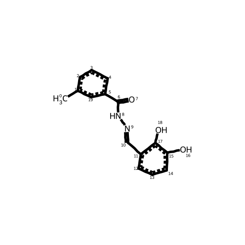 Cc1cccc(C(=O)NN=Cc2cccc(O)c2O)c1